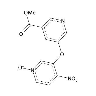 COC(=O)c1cncc(Oc2c[n+]([O-])ccc2[N+](=O)[O-])c1